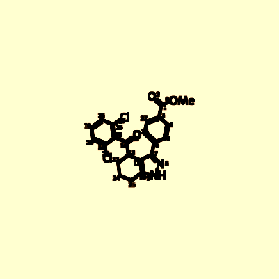 COC(=O)c1ccc(-c2n[nH]c3c2C(C(=O)c2c(Cl)cccc2Cl)CCC3)cc1